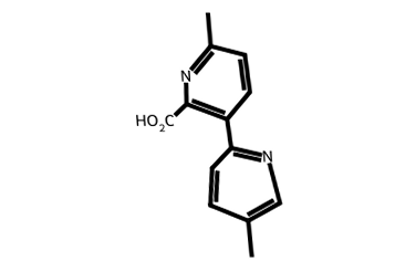 Cc1ccc(-c2ccc(C)nc2C(=O)O)nc1